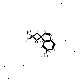 FC1(F)CC2(C=Nc3ccc(Br)cc32)C1